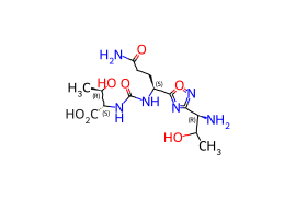 CC(O)[C@H](N)c1noc([C@H](CCC(N)=O)NC(=O)N[C@H](C(=O)O)[C@@H](C)O)n1